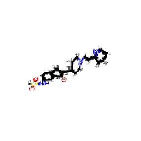 CS(=O)(=O)Nc1ccc2c(c1)C(=O)C(C1CCN(CCc3ccccn3)CC1)C2